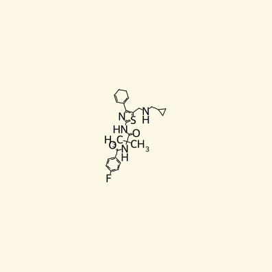 CC(C)(NC(=O)c1ccc(F)cc1)C(=O)Nc1nc(C2=CCCC=C2)c(CNCC2CC2)s1